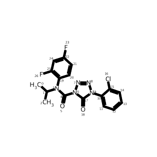 CC(C)N(C(=O)n1nnn(-c2ccccc2Cl)c1=O)c1ccc(F)cc1F